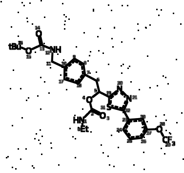 CCNC(=O)OC(Cc1ccc(CNC(=O)OC(C)(C)C)cc1)c1nnc(-c2cccc(OC(F)(F)F)c2)s1